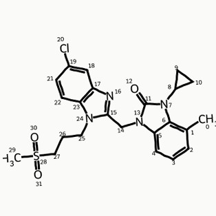 Cc1cccc2c1n(C1CC1)c(=O)n2Cc1nc2cc(Cl)ccc2n1CCCS(C)(=O)=O